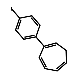 Ic1ccc(C2=CCC=CC=C2)cc1